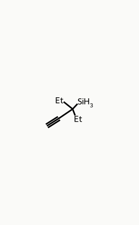 C#CC([SiH3])(CC)CC